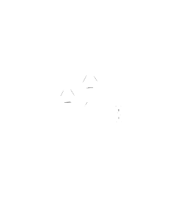 C=C(CCCCS(=O)(=O)O)C(c1ccccc1)c1ccccc1